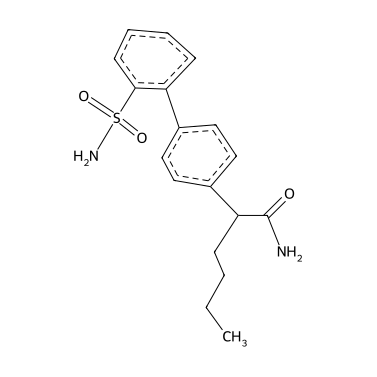 CCCCC(C(N)=O)c1ccc(-c2ccccc2S(N)(=O)=O)cc1